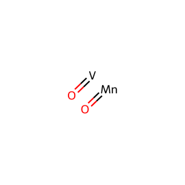 [O]=[Mn].[O]=[V]